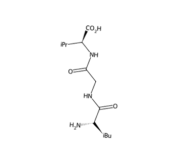 CC[C@H](C)[C@H](N)C(=O)NCC(=O)N[C@H](C(=O)O)C(C)C